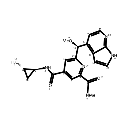 CNC(=O)c1cc(C(=O)N[C@H]2C[C@@H]2C)cc([C@@H](OC)c2ccnc3[nH]ccc23)n1